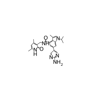 Cc1cc(C)c(CNC(=O)c2cc(-c3cnc(N)nc3)cc3c2c(C)cn3C(C)C)c(=O)[nH]1